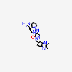 CC#CCn1c(N2CCC[C@@H](N)C2)nc2cnn(Cc3ccc4nc(C)c(C)nc4c3)c(=O)c21